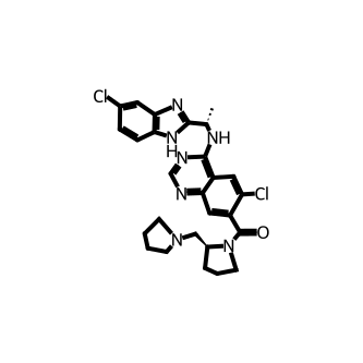 C[C@H](Nc1ncnc2cc(C(=O)N3CCC[C@H]3CN3CCCC3)c(Cl)cc12)c1nc2cc(Cl)ccc2[nH]1